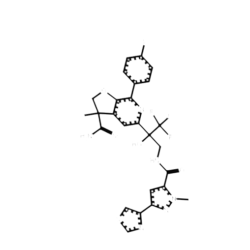 Cn1nc(-c2cscn2)cc1C(=O)NCC(O)(c1cc2c(c(-c3ccc(F)cc3)n1)OCC2(C)C(N)=O)C(F)(F)F